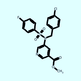 COC(=O)c1cncc(N(Cc2ccc(Cl)cc2)S(=O)(=O)c2ccc(F)cc2)c1